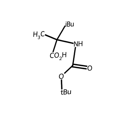 CCC(C)C(C)(NC(=O)OC(C)(C)C)C(=O)O